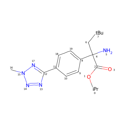 CC(C)OC(=O)C(N)(CC(C)(C)C)c1ccc(-c2nnn(C)n2)cc1